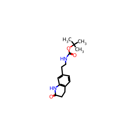 CC(C)(C)OC(=O)NCCc1ccc2c(c1)NC(=O)CC2